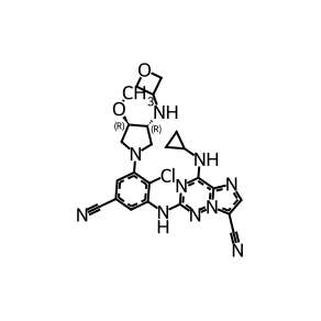 CO[C@@H]1CN(c2cc(C#N)cc(Nc3nc(NC4CC4)c4ncc(C#N)n4n3)c2Cl)C[C@H]1NC1COC1